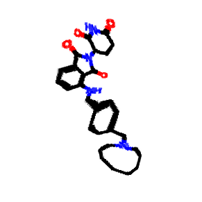 O=C1CC[C@@H](N2C(=O)c3cccc(NCc4ccc(CN5CCCCCCCC5)cc4)c3C2=O)C(=O)N1